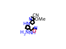 COc1c(C#N)cnc2c1CCC2Nc1ccc(N)c(C(=N)c2cnco2)c1